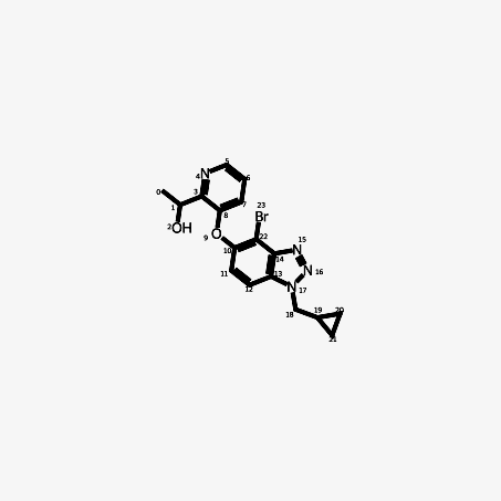 CC(O)c1ncccc1Oc1ccc2c(nnn2CC2CC2)c1Br